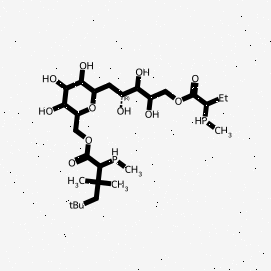 CCC(PC)C(=O)OCC(O)C(O)[C@H](O)CC1OC(COC(=O)C(PC)C(C)(C)CC(C)(C)C)C(O)C(O)C1O